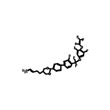 C/C=C/CCC1COC(c2ccc(-c3ccc(C(F)(F)Oc4cc(F)c(OC(F)=C(F)F)c(F)c4)c(F)c3)cc2)OC1